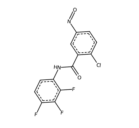 O=Nc1ccc(Cl)c(C(=O)Nc2ccc(F)c(F)c2F)c1